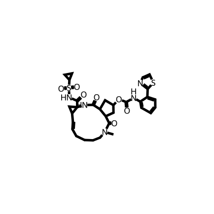 CN1CCCC/C=C/C2CC2(C(=O)NS(=O)(=O)C2CC2)NC(=O)C2CC(OC(=O)Nc3ccccc3-c3nccs3)CC2C1=O